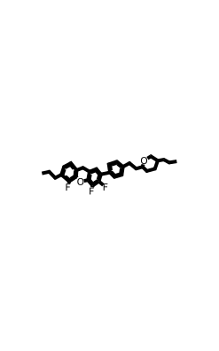 CCCc1ccc2c(c1F)Oc1c(cc(-c3ccc(CCC4CCC(CCC)CO4)cc3)c(F)c1F)C2